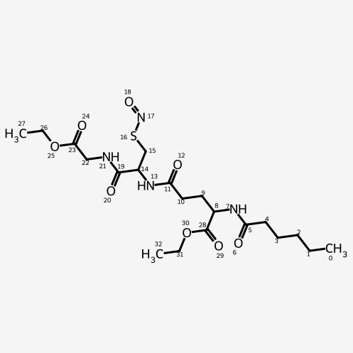 CCCCCC(=O)NC(CCC(=O)NC(CSN=O)C(=O)NCC(=O)OCC)C(=O)OCC